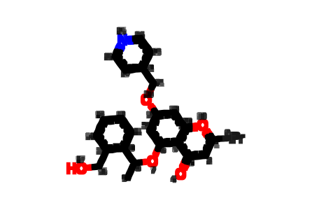 CC(C)c1cc(=O)c2c(OC(C)c3ccccc3CO)cc(OCc3ccncc3)cc2o1